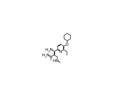 CCc1nc(/C(N)=C(\CNC)N(C)N)ccc1OC1CCCCC1